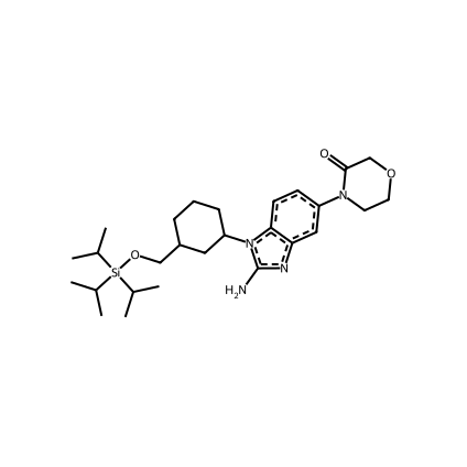 CC(C)[Si](OCC1CCCC(n2c(N)nc3cc(N4CCOCC4=O)ccc32)C1)(C(C)C)C(C)C